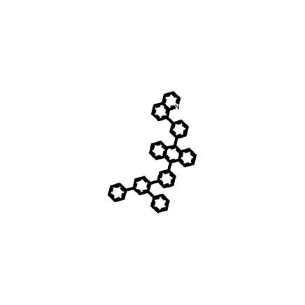 c1ccc(-c2ccc(-c3cccc(-c4c5ccccc5c(-c5cccc(-c6cccc7cccnc67)c5)c5ccccc45)c3)c(-c3ccccc3)c2)cc1